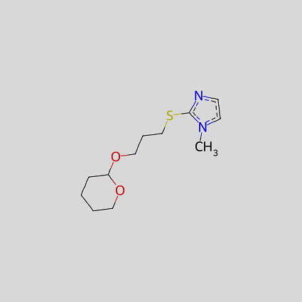 Cn1ccnc1SCCCOC1CCCCO1